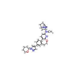 CN(c1ccc2c(n1)OCCc1cc(-c3cnn(C4CCCCO4)c3)ccc1-2)C1CC2CCC(C1)N2